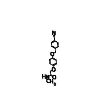 CNC(=O)COc1ccc(OCc2ccc(C#N)cc2)cc1